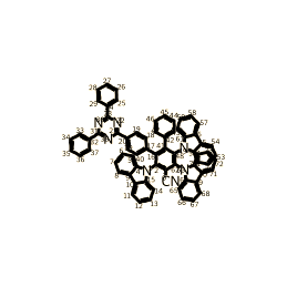 N#Cc1c(-n2c3ccccc3c3ccccc32)c(-c2ccc(-c3nc(-c4ccccc4)nc(-c4ccccc4)n3)cc2)c(-c2ccccc2)c(-n2c3ccccc3c3ccccc32)c1-n1c2ccccc2c2ccccc21